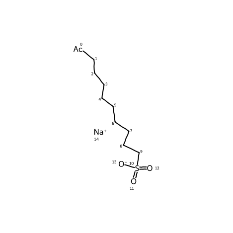 CC(=O)CCCCCCCCCS(=O)(=O)[O-].[Na+]